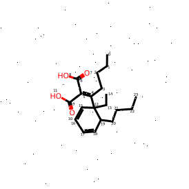 CCCCC(=C(C(=O)O)C(=O)O)C1(CC)C=CC=CC1CCCC